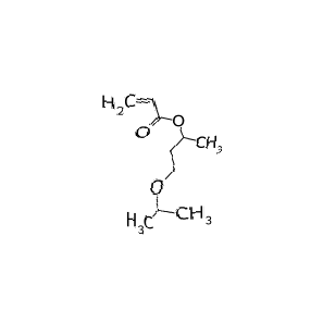 C=CC(=O)OC(C)CCOC(C)C